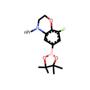 CCCN1CCOc2c(F)cc(B3OC(C)(C)C(C)(C)O3)cc21